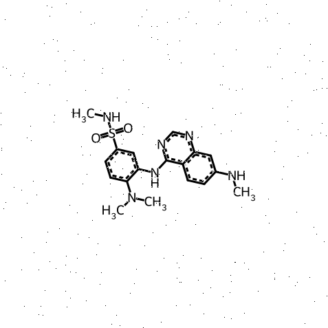 CNc1ccc2c(Nc3cc(S(=O)(=O)NC)ccc3N(C)C)ncnc2c1